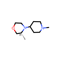 C[C@@H]1COCCN1C1CCN(C)CC1